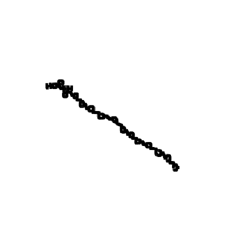 COCCOCCOCCOCCOCCOCCOCCOCCOCCOCCOCCOCCC(=O)NCC(=O)O